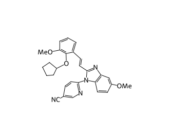 COc1ccc2c(c1)nc(C=Cc1cccc(OC)c1OC1CCCC1)n2-c1ccc(C#N)cn1